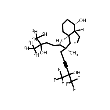 [2H]C([2H])([2H])C(O)(CCC[C@](C)(CC#CC(O)(C(F)(F)F)C(F)(F)F)[C@H]1CC[C@H]2[C@@H](O)CCC[C@]12C)C([2H])([2H])[2H]